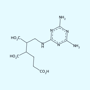 Nc1nc(N)nc(NCC(C(=O)O)C(CCC(=O)O)C(=O)O)n1